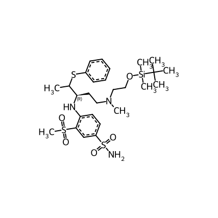 CC(Sc1ccccc1)[C@@H](CCN(C)CCO[Si](C)(C)C(C)(C)C)Nc1ccc(S(N)(=O)=O)cc1S(C)(=O)=O